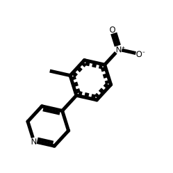 Cc1cc([N+](=O)[O-])ccc1C1=CCN=CC1